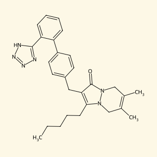 CCCCCc1c(Cc2ccc(-c3ccccc3-c3nnn[nH]3)cc2)c(=O)n2n1CC(C)=C(C)C2